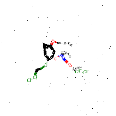 COc1ccccc1.C[N+](=O)[O-].ClCCl.[Al+3].[Cl-].[Cl-].[Cl-]